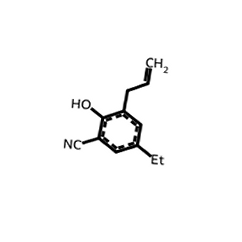 C=CCc1cc(CC)cc(C#N)c1O